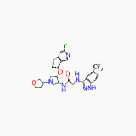 O=C(CNc1n[nH]c2ccc(C(F)(F)F)cc12)NC1CN(C2CCOC2)C[C@@H]1OC1CCc2cc(F)ncc21